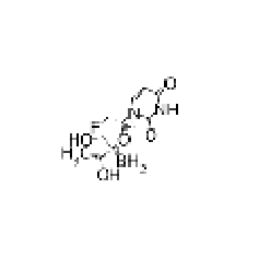 B[C@](CO)(O[C@H](CF)n1ccc(=O)[nH]c1=O)[C@H](C)O